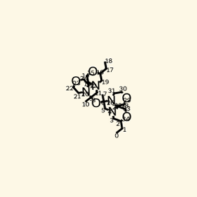 CCC1CN(CC(C)(OC(C)(CN2CCOC(CC)C2)N2CCOCC2)N2CCOCC2)CCO1